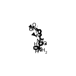 COc1cc(C(=O)N2[C@H]3CC[C@@H]2[C@H](N)C3)cc2nc(-c3cc4ccc([C@@H](C)NC(=O)C5(OC)CC5)nc4n3CC3CC3)c(C)n12